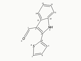 O=Cc1c(-c2cccs2)[nH]c2ccccc12